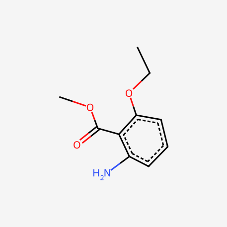 CCOc1cccc(N)c1C(=O)OC